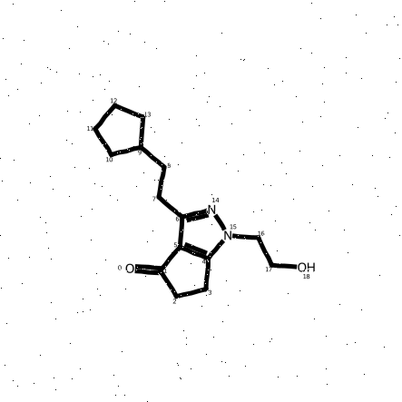 O=C1CCc2c1c(CCC1CCCC1)nn2CCO